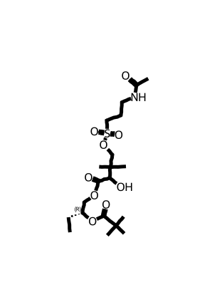 CC[C@H](COC(=O)C(O)C(C)(C)COS(=O)(=O)CCCNC(C)=O)OC(=O)C(C)(C)C